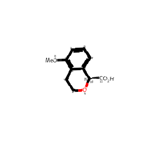 COc1cccc2c1CCO[C@@H]2C(=O)O